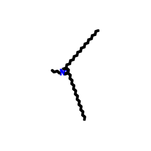 CCCCCCCCCCCCCCCCCCc1cc(CCCCCCCCCCCCCCCCCC)c[n+](CCCC)c1